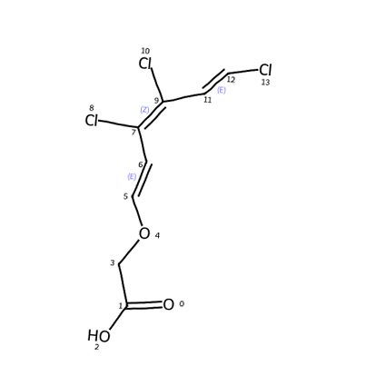 O=C(O)CO/C=C/C(Cl)=C(Cl)\C=C\Cl